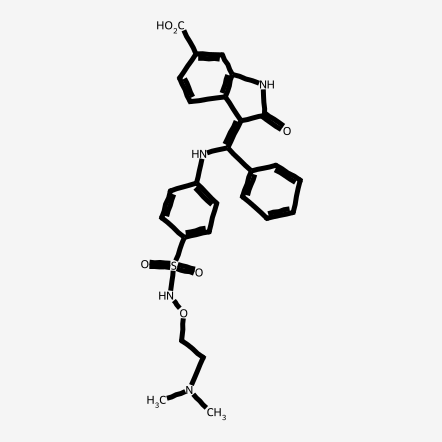 CN(C)CCONS(=O)(=O)c1ccc(NC(=C2C(=O)Nc3cc(C(=O)O)ccc32)c2ccccc2)cc1